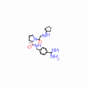 N=C(N)c1ccc(CNC(=O)[C@@H]2CCCN2C(=O)CNC2CCCC2)cc1